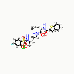 CC(C)C[C@H](NC(=O)c1cc2ccccc2s1)C(=O)NCCC[C@H](CO)NS(=O)(=O)c1ccc(F)cc1Cl